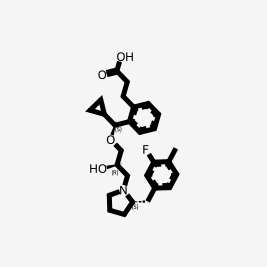 Cc1ccc(C[C@@H]2CCCN2C[C@@H](O)CO[C@H](c2ccccc2CCC(=O)O)C2CC2)cc1F